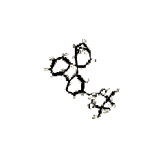 CC1(C)OB(c2ccc3c(c2)C2(CCC4CC=C2C4)c2ccccc2-3)OC1(C)C